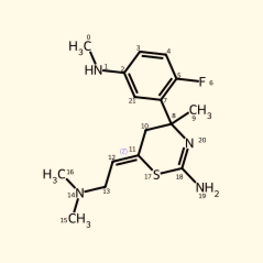 CNc1ccc(F)c(C2(C)C/C(=C/CN(C)C)SC(N)=N2)c1